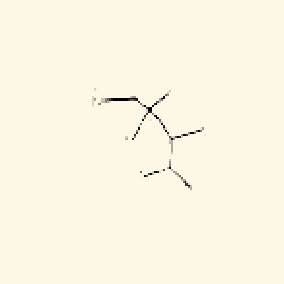 CC(C)C(C)C(C)(C)CN